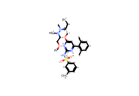 CCCCN(CCOC(C)C)N(C)[C@@H](COc1cc(-c2c(C)cccc2C)nc(NS(=O)(=O)c2cccc(C=O)c2)n1)CC(C)C